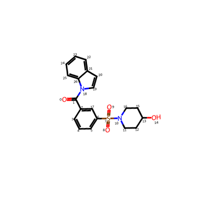 O=C(c1cccc(S(=O)(=O)N2CCC(O)CC2)c1)n1ccc2ccccc21